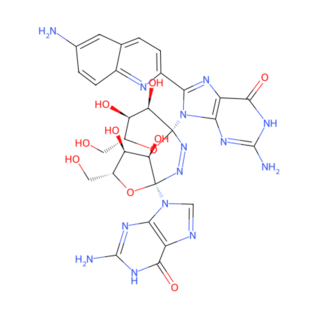 Nc1ccc2nc(-c3nc4c(=O)[nH]c(N)nc4n3[C@]3(N=N[C@@]4(n5cnc6c(=O)[nH]c(N)nc65)O[C@H](CO)[C@@H](O)[C@H]4O)O[C@H](CO)[C@@H](O)[C@H]3O)ccc2c1